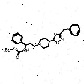 CC(C)(C)OC(=O)NC(CCN1CCC(c2nc(Cc3ccccc3)no2)CC1)c1ccccc1